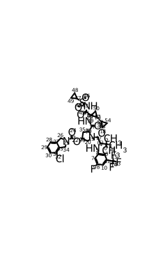 CC(C)(C)[C@H](Nc1cc(F)cc(C(F)(F)F)c1)C(=O)N1C[C@H](OC(=O)N2Cc3cccc(Cl)c3C2)C[C@H]1C(=O)N[C@]1(C(=O)NS(=O)(=O)C2CC2)C[C@H]1C1CC1